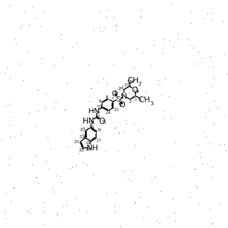 CC1CN(S(=O)(=O)c2ccc(NC(=O)Nc3ccc4[nH]ccc4c3)cc2)CC(C)O1